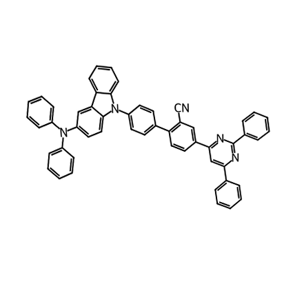 N#Cc1cc(-c2cc(-c3ccccc3)nc(-c3ccccc3)n2)ccc1-c1ccc(-n2c3ccccc3c3cc(N(c4ccccc4)c4ccccc4)ccc32)cc1